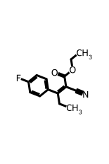 CCOC(=O)C(C#N)=C(CC)c1ccc(F)cc1